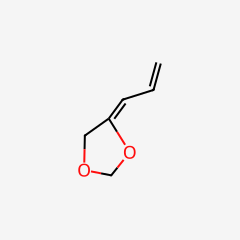 C=CC=C1COCO1